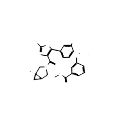 COc1cccc(C(=O)NC[C@@H]2C3C[C@@H]3CN2C(=O)c2nc(N)sc2-c2cccc(C)c2)c1